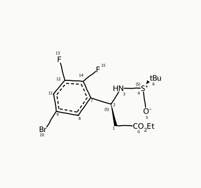 CCOC(=O)C[C@H](N[S@+]([O-])C(C)(C)C)c1cc(Br)cc(F)c1F